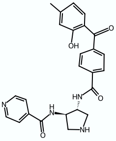 Cc1ccc(C(=O)c2ccc(C(=O)N[C@@H]3CNC[C@H]3NC(=O)c3ccncc3)cc2)c(O)c1